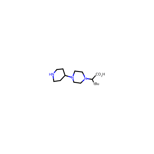 CC(C)(C)C(C(=O)O)N1CCN(C2CCNCC2)CC1